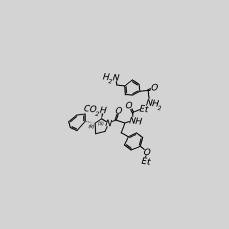 CCOc1ccc(CC(NC(=O)CC)C(=O)N2CC[C@H](c3ccccc3)[C@H]2C(=O)O)cc1.NCc1ccc(C(N)=O)cc1